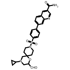 NC(=O)c1cnc2cc(-c3ccc(S(=O)(=O)N4CCC5(CC4)CN(C4CC4)CC(C=O)O5)cc3)ccc2c1